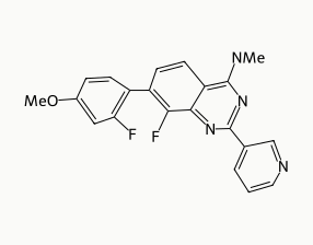 CNc1nc(-c2cccnc2)nc2c(F)c(-c3ccc(OC)cc3F)ccc12